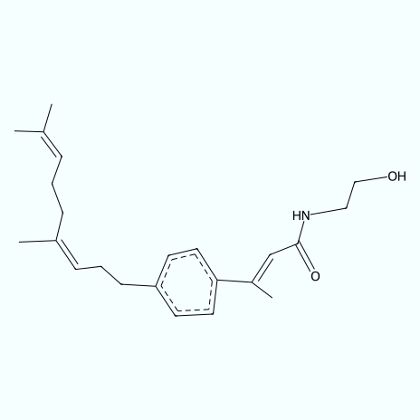 CC(C)=CCCC(C)=CCCc1ccc(C(C)=CC(=O)NCCO)cc1